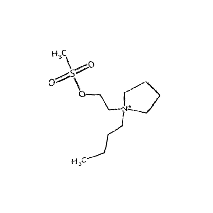 CCCC[N+]1(CCOS(C)(=O)=O)CCCC1